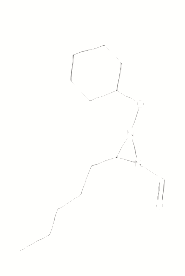 CCCCCC1N(C=O)N1OC1CCCCC1